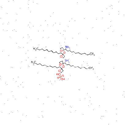 CCCCCCCCCCCC1(OC2(C(N)CCCCCCCCCC)CCO2)CCO1.CCCCCCCCCCCC1(OC2(C(N)CCCCCCCCCC)CCO2)CCO1.O=S(=O)(O)O